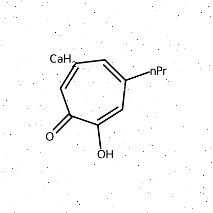 CCCc1cccc(=O)c(O)c1.[CaH2]